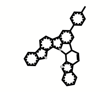 Cc1ccc(-c2cc3c4c(c2)c2ccc5c6ccccc6oc5c2n4C2c4oc5ccccc5c4C=CC32)cc1